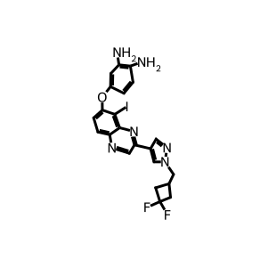 Nc1ccc(Oc2ccc3ncc(-c4cnn(CC5CC(F)(F)C5)c4)nc3c2I)cc1N